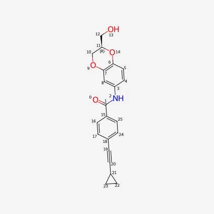 O=C(Nc1ccc2c(c1)OC[C@@H](CO)O2)c1ccc(C#CC2CC2)cc1